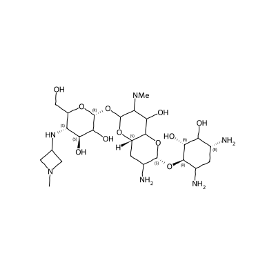 CNC1C(O[C@H]2OC(CO)[C@@H](NC3CN(C)C3)[C@H](O)C2O)O[C@H]2CC(N)[C@@H](O[C@@H]3C(N)C[C@@H](N)C(O)[C@H]3O)OC2C1O